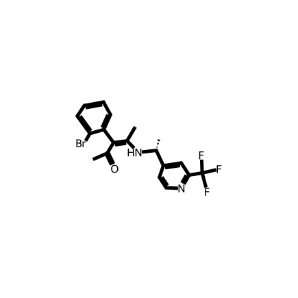 CC(=O)/C(=C(/C)N[C@H](C)c1ccnc(C(F)(F)F)c1)c1ccccc1Br